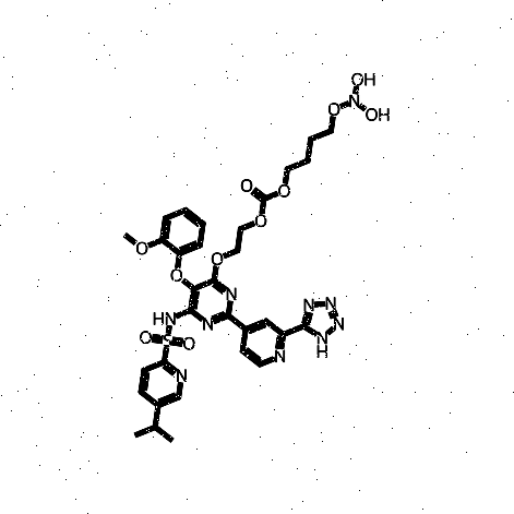 COc1ccccc1Oc1c(NS(=O)(=O)c2ccc(C(C)C)cn2)nc(-c2ccnc(-c3nnn[nH]3)c2)nc1OCCOC(=O)OCCCCON(O)O